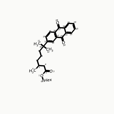 CCCCCCOC(=O)CC(C)CCCC(C)(C)c1ccc2c(c1)C(=O)c1ccccc1C2=O